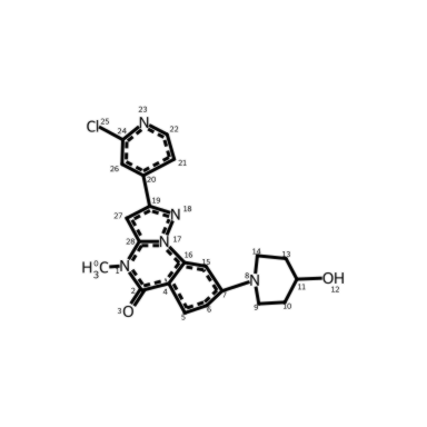 Cn1c(=O)c2ccc(N3CCC(O)CC3)cc2n2nc(-c3ccnc(Cl)c3)cc12